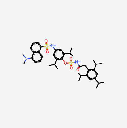 CC(C)c1cc(C(C)C)c(CC(=O)NS(=O)(=O)Oc2c(C(C)C)cc(NS(=O)(=O)c3cccc4c(N(C)C)cccc34)cc2C(C)C)c(C(C)C)c1